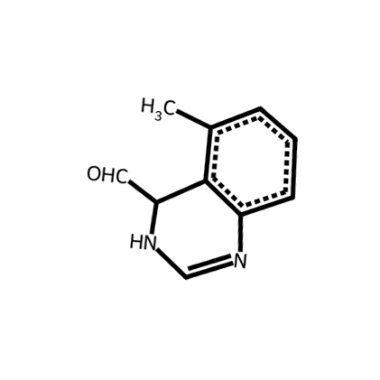 Cc1cccc2c1C(C=O)NC=N2